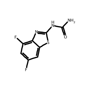 NC(=O)Nc1nc2c(F)cc(F)cc2s1